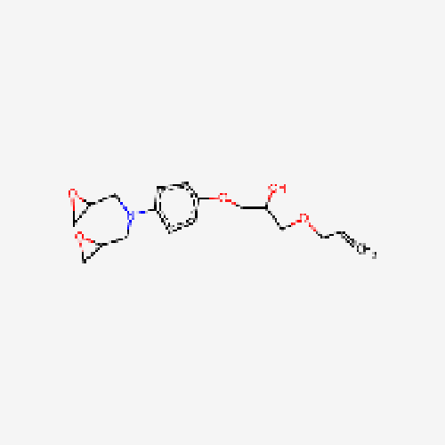 C=CCOCC(O)COc1ccc(N(CC2CO2)CC2CO2)cc1